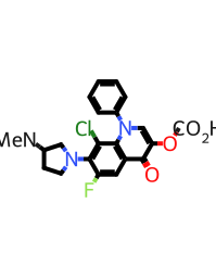 CNC1CCN(c2c(F)cc3c(=O)c(OC(=O)O)cn(-c4ccccc4)c3c2Cl)C1